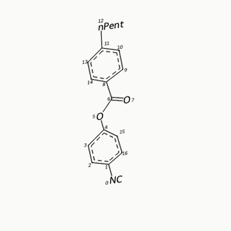 [C-]#[N+]c1ccc(OC(=O)c2ccc(CCCCC)cc2)cc1